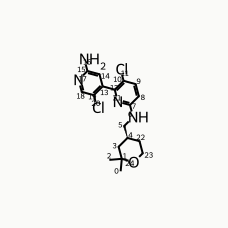 CC1(C)C[C@@H](CNc2ccc(Cl)c(-c3cc(N)ncc3Cl)n2)CCO1